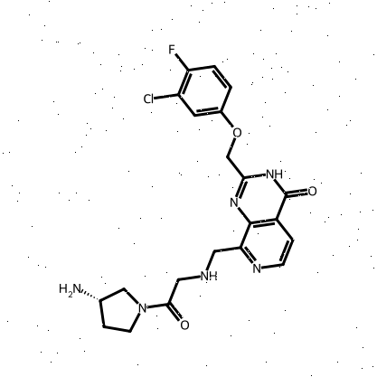 N[C@H]1CCN(C(=O)CNCc2nccc3c(=O)[nH]c(COc4ccc(F)c(Cl)c4)nc23)C1